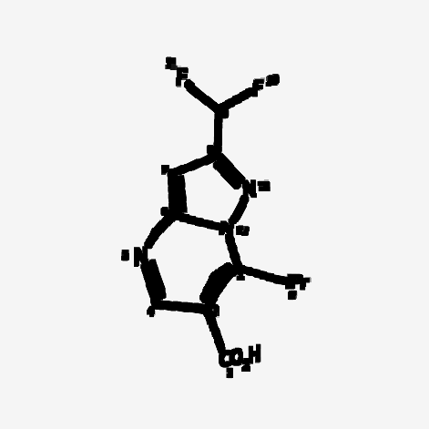 CC(C)c1c(C(=O)O)cnc2cc(C(F)F)nn12